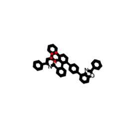 c1ccc(-c2cc(-c3ccccc3)nc(-c3ccccc3-c3c(-c4ccc(-c5cccc6oc(-c7ccccc7)nc56)cc4)ccc4ccccc34)n2)cc1